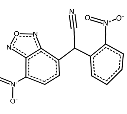 N#CC(c1ccccc1[N+](=O)[O-])c1ccc([N+](=O)[O-])c2nonc12